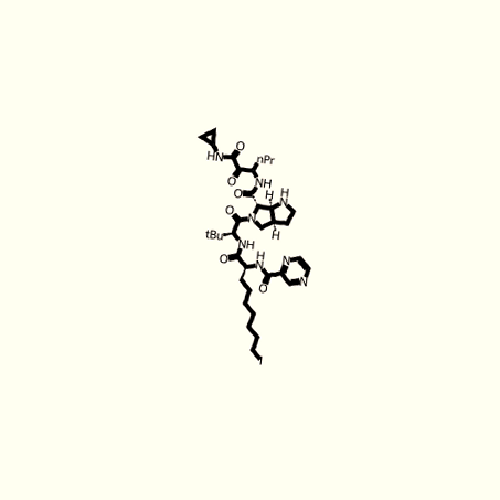 CCCC(NC(=O)[C@@H]1[C@H]2NCC[C@H]2CN1C(=O)[C@@H](NC(=O)[C@H](CCCCCCCI)NC(=O)c1cnccn1)C(C)(C)C)C(=O)C(=O)NC1CC1